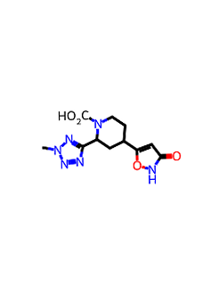 Cn1nnc(C2CC(c3cc(=O)[nH]o3)CCN2C(=O)O)n1